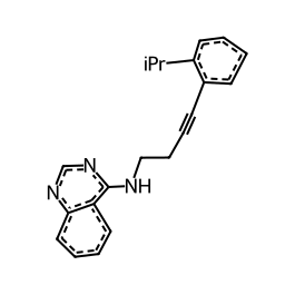 CC(C)c1ccccc1C#CCCNc1ncnc2ccccc12